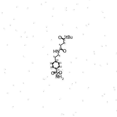 CC(C)(C)C(=O)CCC(=O)NCCc1ccc(S(N)(=O)=O)cc1